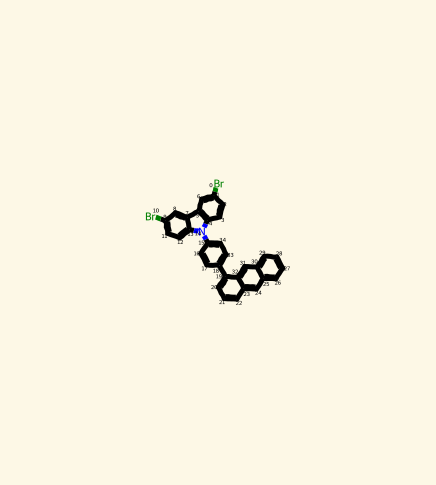 Brc1ccc2c(c1)c1cc(Br)ccc1n2-c1ccc(-c2cccc3cc4ccccc4cc23)cc1